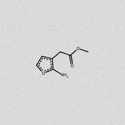 COC(=O)Cc1ccoc1N